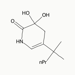 CCCC(C)(C)C1=CNC(=O)C(O)(O)C1